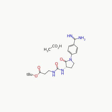 CC(=O)O.CC(C)(C)OC(=O)CCNC(=O)N[C@H]1CCN(c2ccc(C(=N)N)cc2)C1=O